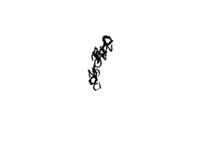 Cn1c2ccccc2c2nnc(OCc3nc4ccc(Cl)cc4o3)nc21